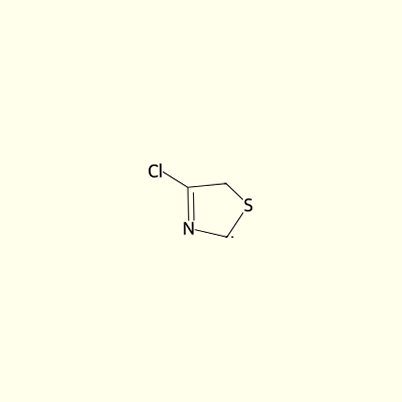 ClC1=N[CH]SC1